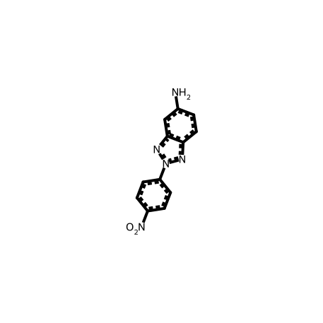 Nc1ccc2nn(-c3ccc([N+](=O)[O-])cc3)nc2c1